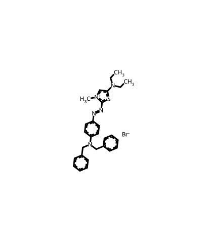 CCN(CC)c1c[n+](C)c(N=Nc2ccc(N(Cc3ccccc3)Cc3ccccc3)cc2)s1.[Br-]